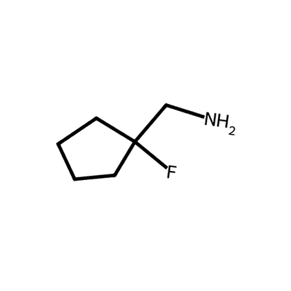 NCC1(F)CCCC1